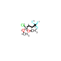 CO[Si](Cl)(CCC(F)(F)F)OC